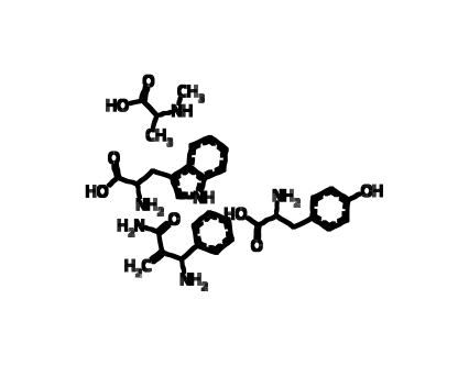 C=C(C(N)=O)C(N)c1ccccc1.CNC(C)C(=O)O.NC(Cc1c[nH]c2ccccc12)C(=O)O.NC(Cc1ccc(O)cc1)C(=O)O